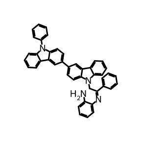 Nc1ccccc1/N=C(\Cn1c2ccccc2c2cc(-c3ccc4c(c3)c3ccccc3n4-c3ccccc3)ccc21)c1ccccc1